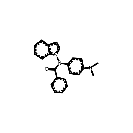 CN(C)c1ccc(N(C(=O)c2ccccc2)n2ccc3ccccc32)cc1